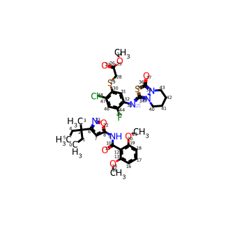 CCC(C)(CC)c1cc(NC(=O)c2c(OC)cccc2OC)on1.COC(=O)CSc1cc(/N=c2\sc(=O)n3n2CCCC3)c(F)cc1Cl